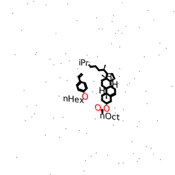 C=Cc1ccc(OCCCCCC)cc1.CCCCCCCCC(=O)O[C@H]1CC[C@@]2(C)C(=CC[C@H]3[C@@H]4CC[C@H]([C@H](C)CCCC(C)C)[C@@]4(C)CC[C@@H]32)C1